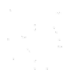 COc1ccc2ccccc2c1C(=O)c1c[nH]c2ccccc12